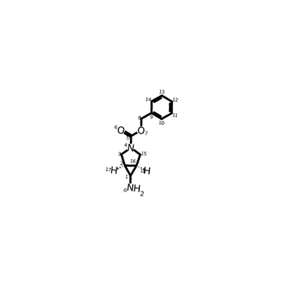 NC1[C@H]2CN(C(=O)OCc3ccccc3)C[C@@H]12